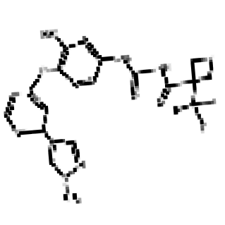 Cc1nc(NC(=O)NC(=O)C2(C(F)(F)F)CCC2)ccc1Oc1ccnc(-c2cnn(C)c2)c1